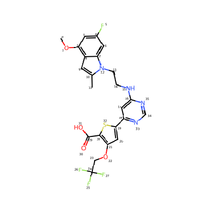 COc1cc(F)cc2c1cc(C)n2CCNc1cc(-c2cc(OCC(F)(F)F)c(C(=O)O)s2)ncn1